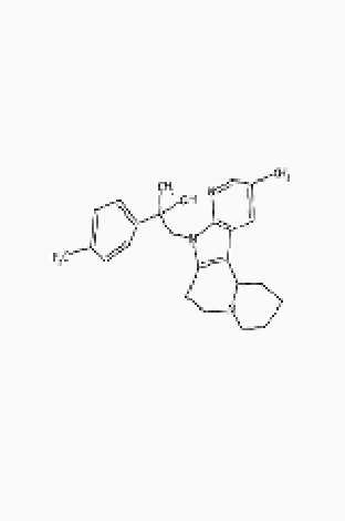 Cc1cnc2c(c1)c1c(n2CC(C)(O)c2ccc(C(F)(F)F)cc2)CCN2CCCCC12